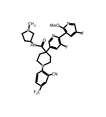 COc1ncc(F)cc1-c1ncc(C2(C(=O)NC3CCN(C)C3)CCN(c3ccc(C(F)(F)F)cc3C#N)CC2)cc1F